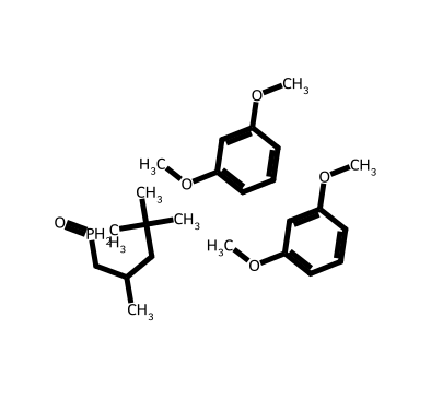 CC(C[PH2]=O)CC(C)(C)C.COc1cccc(OC)c1.COc1cccc(OC)c1